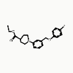 CCOC(=O)C1CCN(c2cccc(COc3ccc(F)cc3)c2)CC1